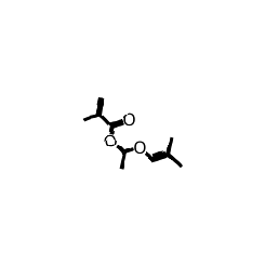 C=C(C)C(=O)OC(C)OC=C(C)C